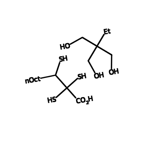 CCC(CO)(CO)CO.CCCCCCCCC(S)C(S)(S)C(=O)O